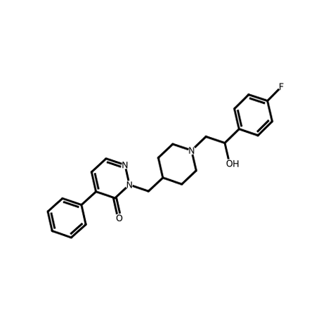 O=c1c(-c2ccccc2)ccnn1CC1CCN(CC(O)c2ccc(F)cc2)CC1